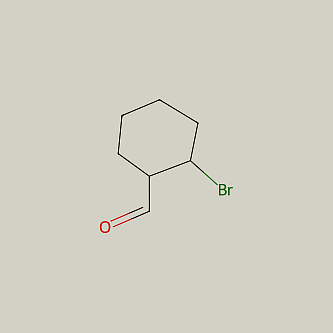 O=CC1CCCCC1Br